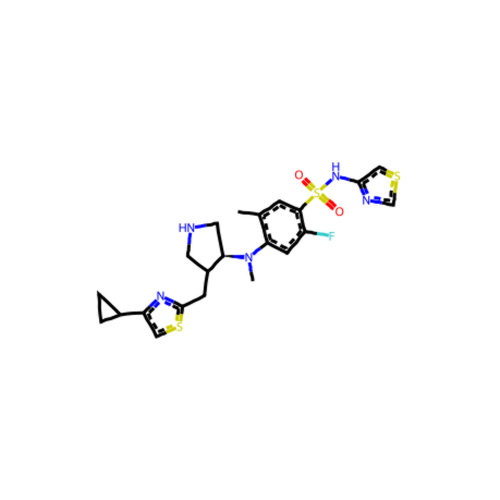 Cc1cc(S(=O)(=O)Nc2cscn2)c(F)cc1N(C)[C@@H]1CNCC1Cc1nc(C2CC2)cs1